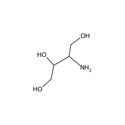 NC(CO)C(O)CO